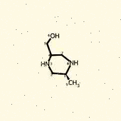 C[C@H]1CNC(CO)CN1